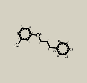 [O]c1cccc(OCCCc2ccccc2)c1